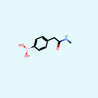 CNC(=O)Cc1ccc(B(O)O)cc1